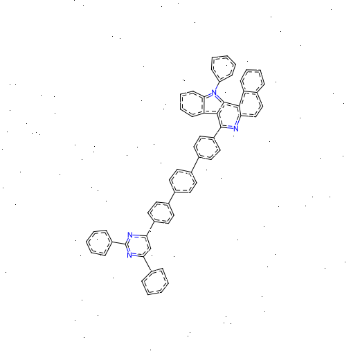 c1ccc(-c2cc(-c3ccc(-c4ccc(-c5ccc(-c6nc7ccc8ccccc8c7c7c6c6ccccc6n7-c6ccccc6)cc5)cc4)cc3)nc(-c3ccccc3)n2)cc1